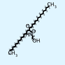 CCCCCCCCCCCCCCC(=O)C(CCCCCCCCCCCCCC)C(=O)NCCO